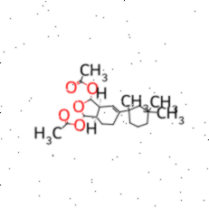 CC(=O)O[C@H]1O[C@@H](OC(C)=O)[C@@H]2CCC([C@@]3(C)CCCC(C)(C)C3)=C[C@H]12